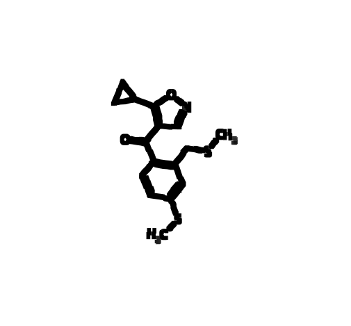 CSCc1cc(SC)ccc1C(=O)c1cnoc1C1CC1